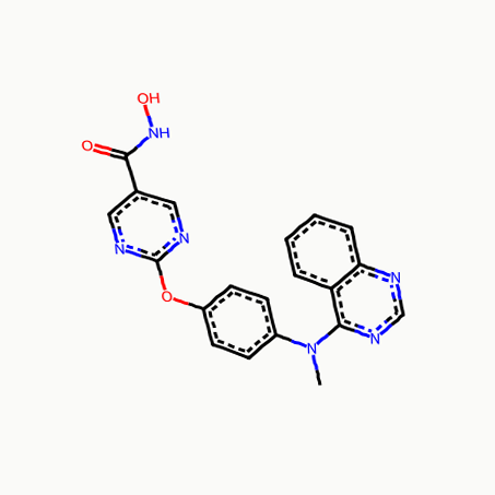 CN(c1ccc(Oc2ncc(C(=O)NO)cn2)cc1)c1ncnc2ccccc12